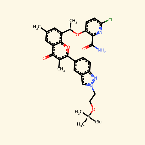 Cc1cc([C@@H](C)Oc2ccc(Cl)nc2C(N)=O)c2oc(-c3ccc4nn(CCO[Si](C)(C)C(C)(C)C)cc4c3)c(C)c(=O)c2c1